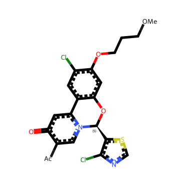 COCCCOc1cc2c(cc1Cl)-c1cc(=O)c(C(C)=O)cn1[C@H](c1scnc1Cl)O2